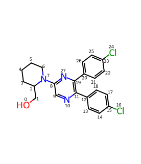 OCC1CCCCN1c1cnc(-c2ccc(Cl)cc2)c(-c2ccc(Cl)cc2)n1